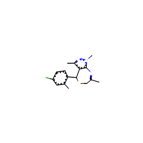 CC1=Nc2c(c(C)nn2C)C(c2ccc(Cl)cc2C)SC1